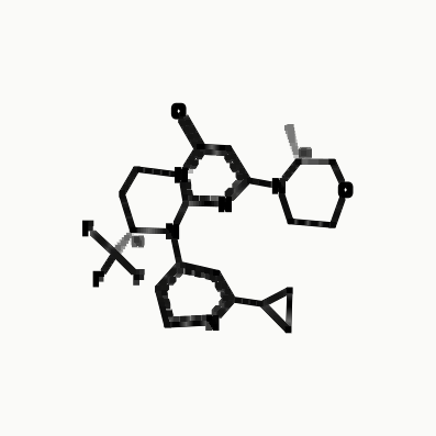 C[C@@H]1COCCN1c1cc(=O)n2c(n1)N(c1ccnc(C3CC3)c1)[C@H](C(F)(F)F)CC2